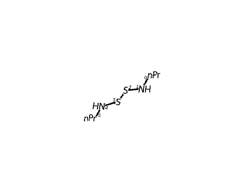 CCCNSSNCCC